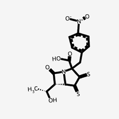 C[C@@H](O)[C@@H]1C(=O)N2C1C(=S)C(=S)C2(Cc1ccc([N+](=O)[O-])cc1)C(=O)O